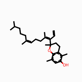 C=CC(=C(C)CCC=C(C)CCCC(C)C)C1(C)CCc2c(C)c(O)cc(C)c2O1